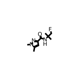 Cc1cc(C(=O)NC(C)(C)CF)nn1C